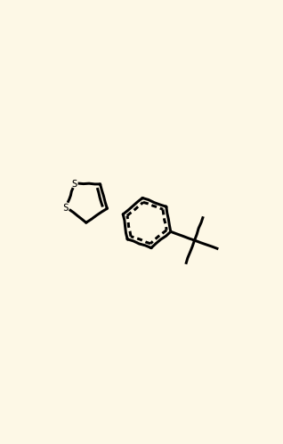 C1=CSSC1.CC(C)(C)c1ccccc1